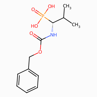 CC(C)[C@H](NC(=O)OCc1ccccc1)P(=O)(O)O